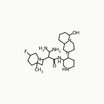 CC12CCC(F)CN1C(C(C(=O)NC1CNCCC1N1CCN3C(O)CCCC3C1)C(N)N)C2